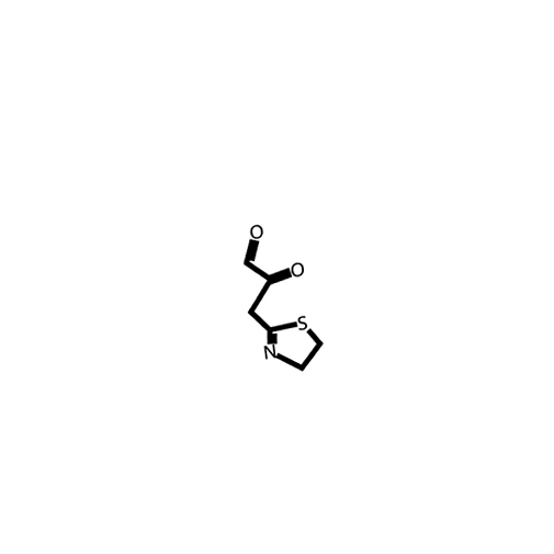 O=CC(=O)CC1=NCCS1